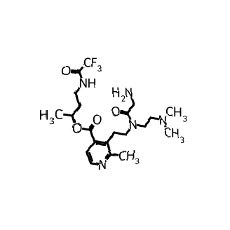 Cc1nccc(C(=O)OC(C)CCNC(=O)C(F)(F)F)c1CCN(CCN(C)C)C(=O)CN